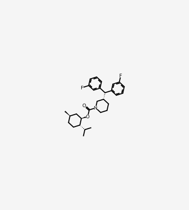 CC(C)[C@@H]1CC[C@@H](C)C[C@H]1OC(=O)N1CCC[C@@H](C(c2cccc(F)c2)c2cccc(F)c2)C1